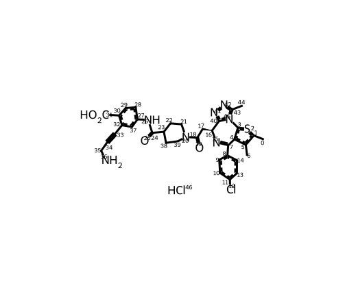 Cc1sc2c(c1C)C(c1ccc(Cl)cc1)=N[C@@H](CC(=O)N1CCC(C(=O)Nc3ccc(C(=O)O)c(C#CCN)c3)CC1)c1nnc(C)n1-2.Cl